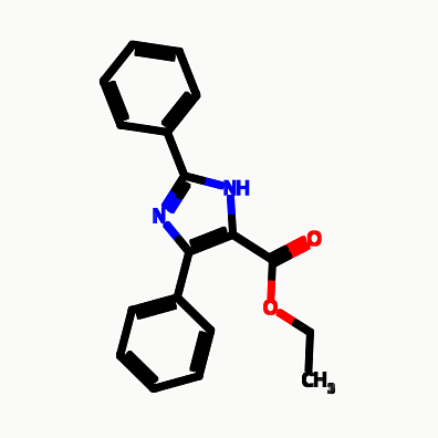 CCOC(=O)c1[nH]c(-c2ccccc2)nc1-c1ccccc1